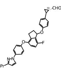 CC(C)c1ccn(-c2ccc(Oc3ccc(F)c4c3CCC4Oc3ccc(C4C[C@@H]4C=O)cc3)cc2)n1